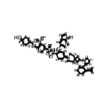 CC1(O)CCC(CNc2ncc(S(=O)(=O)NC(=O)c3ccc(N4CCC5(CC4)CC(N4CCC[C@H]4c4ccccc4C4CC4)C5)cc3Oc3cnc4[nH]ccc4c3)cc2[N+](=O)[O-])CC1